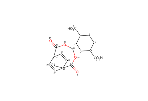 O=C(O)C1CCC(C(=O)O)CC1.O=C1OCOC(=O)C23C=CC1(C=C2)C3